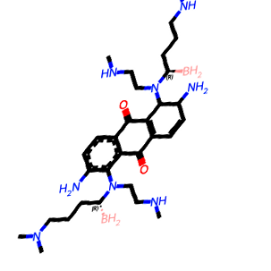 B[C@H](CCCN(C)C)N(CCNC)c1c(N)ccc2c1C(=O)C1=C(C2=O)C(N(CCNC)[C@H](B)CCCNC)C(N)C=C1